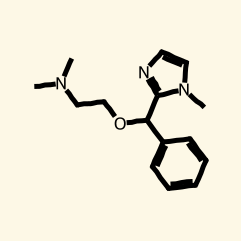 CN(C)CCOC(c1ccccc1)c1nccn1C